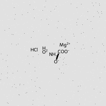 Cl.N.O.O=C([O-])[O-].[Mg+2]